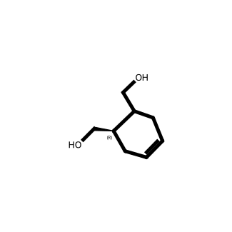 OCC1CC=CC[C@H]1CO